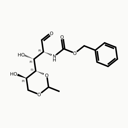 CC1OC[C@@H](O)[C@H]([C@H](O)[C@H](C=O)NC(=O)OCc2ccccc2)O1